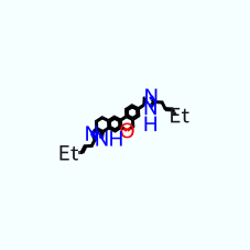 CCC=CCc1ncc(-c2ccc3c(c2)COc2cc4c(cc2-3)CCc2nc(CC=CCC)[nH]c2-4)[nH]1